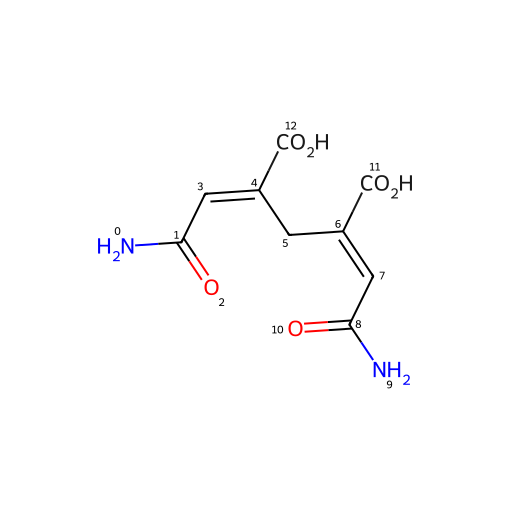 NC(=O)/C=C(\C/C(=C\C(N)=O)C(=O)O)C(=O)O